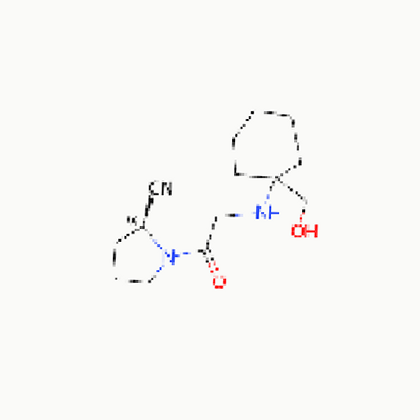 N#C[C@@H]1CCCN1C(=O)CNC1(CO)CCCCC1